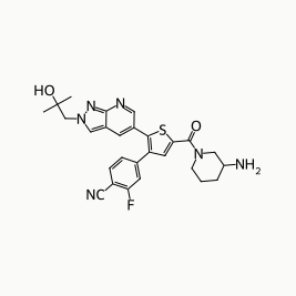 CC(C)(O)Cn1cc2cc(-c3sc(C(=O)N4CCCC(N)C4)cc3-c3ccc(C#N)c(F)c3)cnc2n1